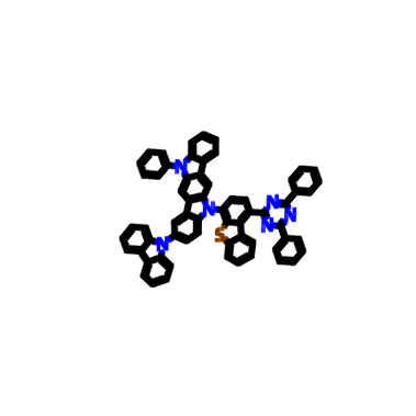 c1ccc(-c2nc(-c3ccccc3)nc(-c3ccc(-n4c5ccc(-n6c7ccccc7c7ccccc76)cc5c5cc6c(cc54)c4ccccc4n6-c4ccccc4)c4sc5ccccc5c34)n2)cc1